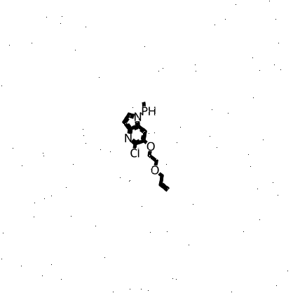 C=CCOCCOc1cc2c(ccn2PC)nc1Cl